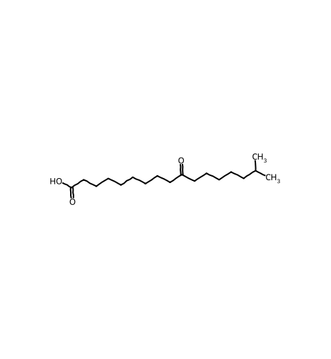 CC(C)CCCCCC(=O)CCCCCCCCC(=O)O